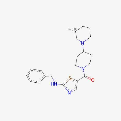 C[C@@H]1CCCN(C2CCN(C(=O)c3cnc(NCc4ccccc4)s3)CC2)C1